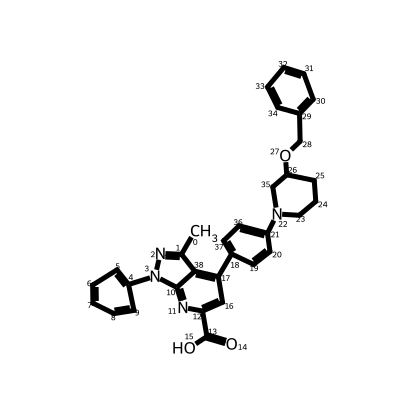 Cc1nn(-c2ccccc2)c2nc(C(=O)O)cc(-c3ccc(N4CCCC(OCc5ccccc5)C4)cc3)c12